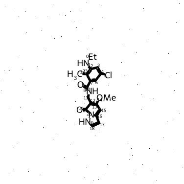 CCNc1cc(Cl)cc(C(=O)NCc2c(OC)cc3cc[nH]n3c2=O)c1C